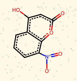 O=c1cc(O)c2cccc([N+](=O)[O-])c2o1